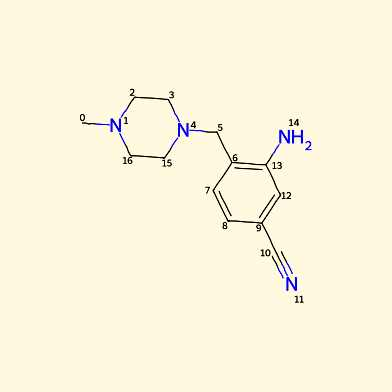 CN1CCN(Cc2ccc(C#N)cc2N)CC1